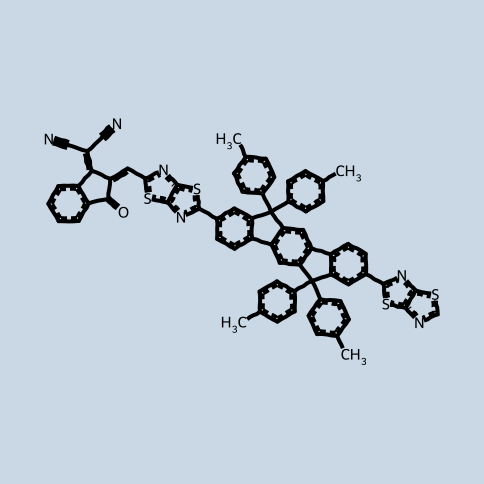 Cc1ccc(C2(c3ccc(C)cc3)c3cc(-c4nc5scnc5s4)ccc3-c3cc4c(cc32)-c2ccc(-c3nc5sc(/C=C6\C(=O)c7ccccc7C6=C(C#N)C#N)nc5s3)cc2C4(c2ccc(C)cc2)c2ccc(C)cc2)cc1